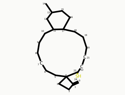 C=C1CCC12CCCCCCC1CC(C)CCC1CCCCCC2S